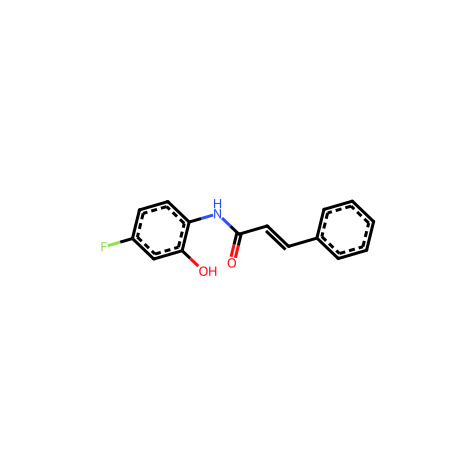 O=C(C=Cc1ccccc1)Nc1ccc(F)cc1O